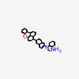 CCN(C1=C(N)C=CCC1)c1ccc2cc(-c3ccc4c5c(cccc35)-c3ccccc3O4)ccc2c1